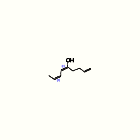 C=CCC/C(O)=C\C=C/C